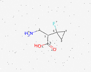 NCC(C(=O)O)C1(F)CC1